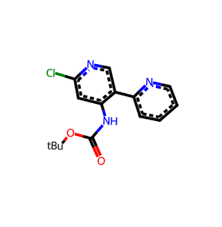 CC(C)(C)OC(=O)Nc1cc(Cl)ncc1-c1ccccn1